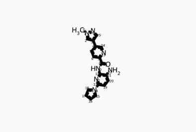 Cn1cc(-c2ccc(C(=O)Nc3nc(-n4cccc4)ccc3N)nc2)cn1